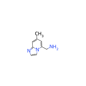 Cc1cc(CN)n2ccnc2c1